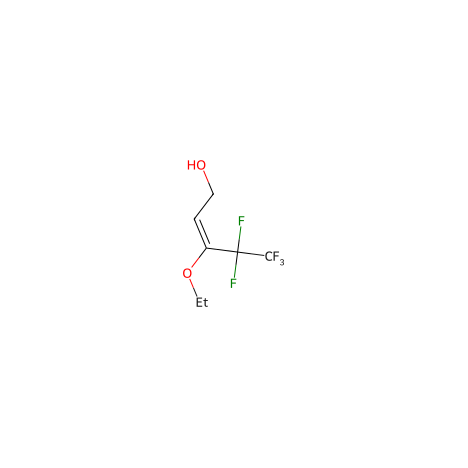 CCOC(=CCO)C(F)(F)C(F)(F)F